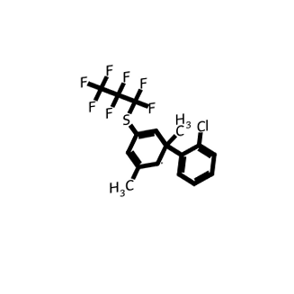 CC1=CC(SC(F)(F)C(F)(F)C(F)(F)F)=CC(C)(c2ccccc2Cl)[CH]1